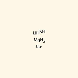 [Cu].[KH].[LiH].[MgH2]